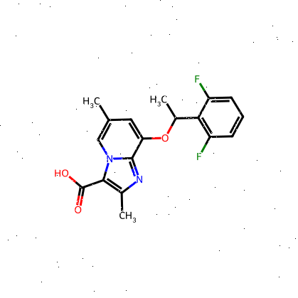 Cc1cc(OC(C)c2c(F)cccc2F)c2nc(C)c(C(=O)O)n2c1